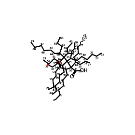 CCCCCCC(CCC)C(C(=O)O)(C(CCC)CCCCCC)C(C(CCC)CCCCCC)(C(CCC)CCCCCC)C(C(C)CC)(C(CCC)CCCCCC)C(CCC)CCCCCC